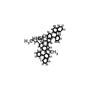 CCCCC1=Cc2c(-c3ccccc3-c3cccc4ccccc34)cccc2[CH]1[Zr]([CH]1C(CCCC)=Cc2c(-c3ccccc3-c3cccc4ccccc34)cccc21)[SiH](C)C